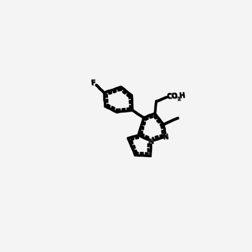 Cc1nn2cccc2c(-c2ccc(F)cc2)c1CC(=O)O